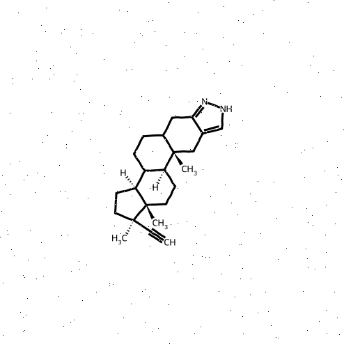 C#C[C@@]1(C)CC[C@H]2C3CCC4Cc5n[nH]cc5C[C@]4(C)[C@H]3CC[C@@]21C